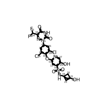 O=c1[nH]c(=O)n(-c2cc(Cl)c(Oc3cc(S(=O)(=O)NC45CC(O)(C4)C5)c(O)cn3)c(Cl)c2)nc1C(F)F